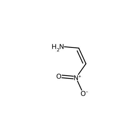 N/C=C\[N+](=O)[O-]